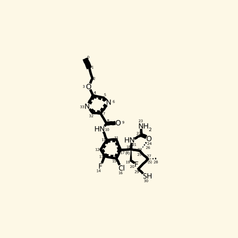 C#CCOc1cnc(C(=O)Nc2cc(F)c(Cl)c([C@](CF)(NC(N)=O)[C@H](C)[C@H](C)CS)c2)cn1